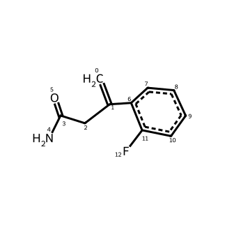 C=C(CC(N)=O)c1ccccc1F